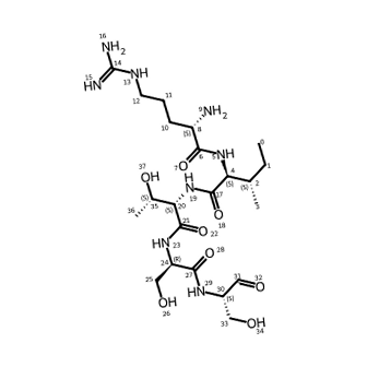 CC[C@H](C)[C@H](NC(=O)[C@@H](N)CCCNC(=N)N)C(=O)N[C@H](C(=O)N[C@H](CO)C(=O)N[C@H]([C]=O)CO)[C@H](C)O